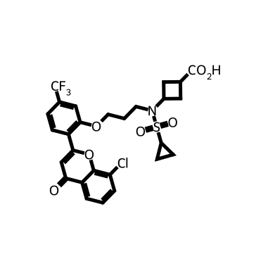 O=C(O)C1CC(N(CCCOc2cc(C(F)(F)F)ccc2-c2cc(=O)c3cccc(Cl)c3o2)S(=O)(=O)C2CC2)C1